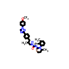 Cc1cccc(N2/C(=N/C(=O)NCC(C)Cc3ccc(-c4ncn(-c5ccc(OC(F)(F)F)cc5)n4)cc3)SCCC2C)c1C(C)C